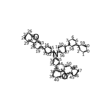 c1ccc(-c2cccc(-c3ccc(N(c4ccc(-c5ccc6c(c5)oc5ccccc56)cc4)c4ccc(-c5cccc6oc7c8ccccc8ccc7c56)cc4)cc3)c2)cc1